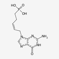 Nc1nc2c(ncn2C/C=C\CCP(=O)(O)O)c(=O)[nH]1